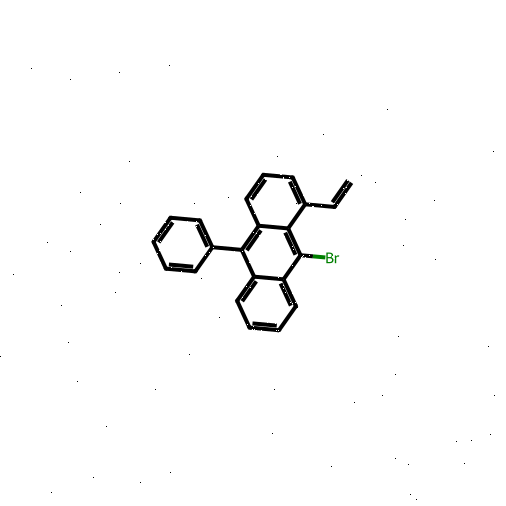 C=Cc1cccc2c(-c3ccccc3)c3ccccc3c(Br)c12